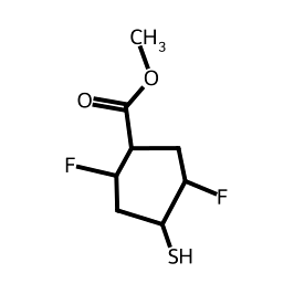 COC(=O)C1CC(F)C(S)CC1F